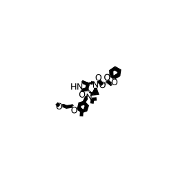 COCCCOc1cc(C(=O)N(C[C@@H]2CNC[C@H]2CN(C(=O)O[C@H]2COc3ccccc3O2)C2CC2)C(C)C)ccc1C